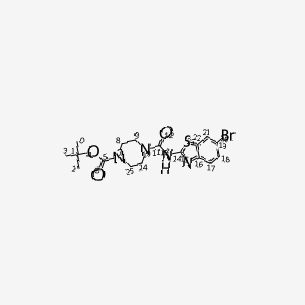 CC(C)(C)OC(=O)N1CCN(C(=O)Nc2nc3ccc(Br)cc3s2)CC1